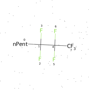 [CH2]CCCCC(F)(F)C(F)(F)C(F)(F)F